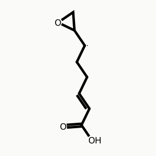 O=C(O)C=CCC[CH]C1CO1